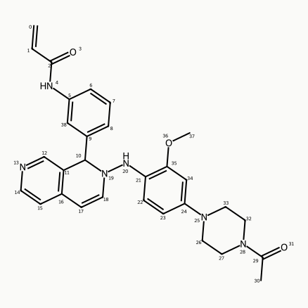 C=CC(=O)Nc1cccc(C2c3cnccc3C=CN2Nc2ccc(N3CCN(C(C)=O)CC3)cc2OC)c1